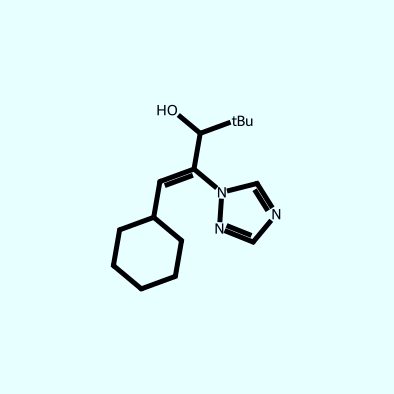 CC(C)(C)C(O)C(=CC1CCCCC1)n1cncn1